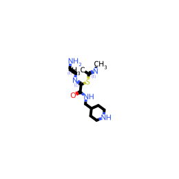 C/N=C(\C)S/C(=N\C=C\N)C(=O)NCC1CCNCC1